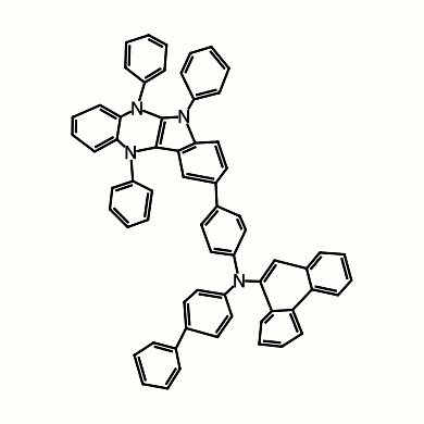 c1ccc(-c2ccc(N(c3ccc(-c4ccc5c(c4)c4c(n5-c5ccccc5)N(c5ccccc5)c5ccccc5N4c4ccccc4)cc3)c3cc4ccccc4c4ccccc34)cc2)cc1